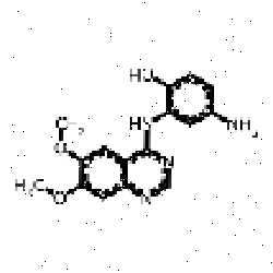 COc1cc2ncnc(Nc3cc(N)ccc3O)c2cc1OC